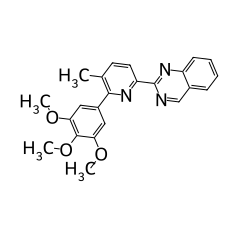 COc1cc(-c2nc(-c3ncc4ccccc4n3)ccc2C)cc(OC)c1OC